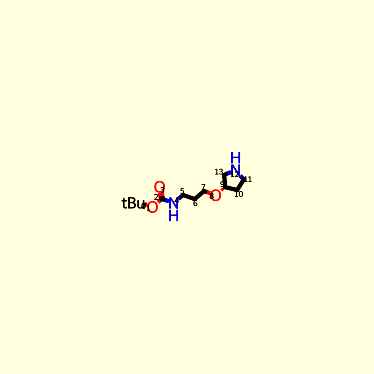 CC(C)(C)OC(=O)NCCCO[C@@H]1CCNC1